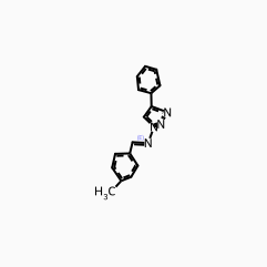 Cc1ccc(/C=N/n2cc(-c3ccccc3)nn2)cc1